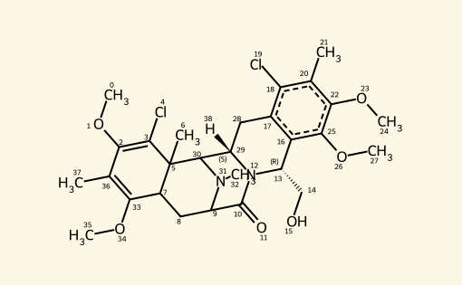 COC1=C(Cl)C2(C)C(CC3C(=O)N4[C@@H](CO)c5c(c(Cl)c(C)c(OC)c5OC)C[C@H]4C2N3C)C(OC)=C1C